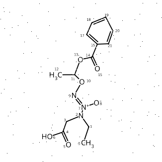 CCN(CC(=O)O)/[N+]([O-])=N/OC(C)OC(=O)c1ccccc1